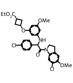 CCOC(=O)[C@H]1C[C@@H](Oc2cc(NC(C(=O)N3CCc4cc(OC)c(Cl)cc43)c3ccc(Cl)cc3)cc(OC)c2)C1